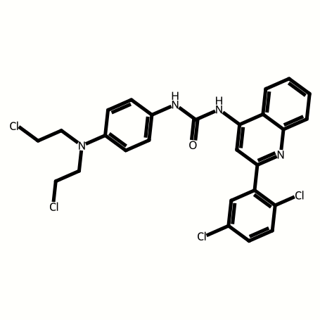 O=C(Nc1ccc(N(CCCl)CCCl)cc1)Nc1cc(-c2cc(Cl)ccc2Cl)nc2ccccc12